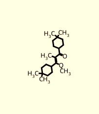 CO/C(=C(/C)C(=O)C1CCC(C)(C)CC1)C1CCC(C)(C)CC1